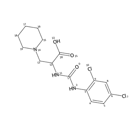 O=C(Nc1ccc(Cl)cc1Cl)NC(CN1CCCCC1)C(=O)O